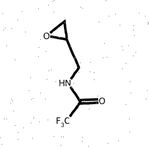 O=C(NCC1CO1)C(F)(F)F